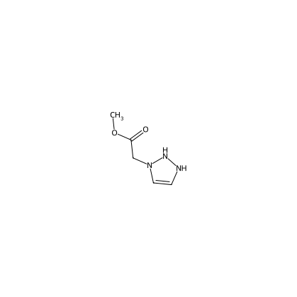 COC(=O)CN1C=CNN1